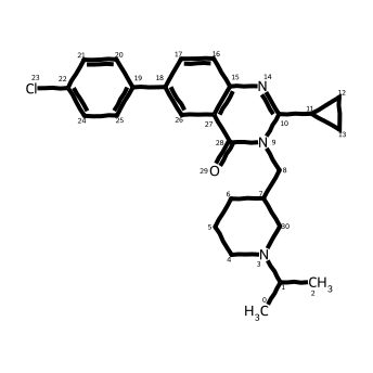 CC(C)N1CCCC(Cn2c(C3CC3)nc3ccc(-c4ccc(Cl)cc4)cc3c2=O)C1